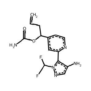 C=CCC(OC(N)=O)c1ccnc(-c2c(N)cnn2C(F)F)c1